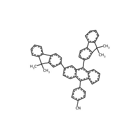 CC1(C)c2ccccc2-c2ccc(-c3ccc4c(-c5ccc(C#N)cc5)c5ccccc5c(-c5ccc6c(c5)C(C)(C)c5ccccc5-6)c4c3)cc21